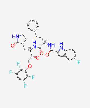 O=C(N[C@@H](CCc1ccccc1)C(=O)N[C@@H](CC1CCNC1=O)C(=O)COc1c(F)c(F)cc(F)c1F)c1cc2cc(F)ccc2[nH]1